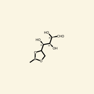 CB1OCC([C@@H](O)[C@H](O)[C@@H](O)C=O)O1